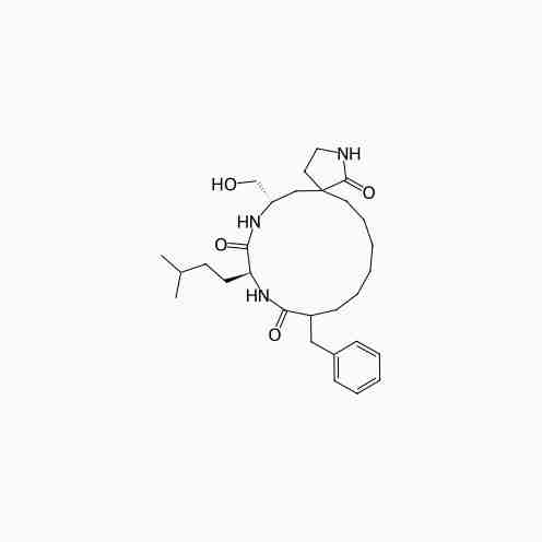 CC(C)CC[C@@H]1NC(=O)C(Cc2ccccc2)CCCCCCC2(CCNC2=O)C[C@@H](CO)NC1=O